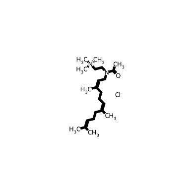 CC(=O)N(CC=C(C)CCC=C(C)CCC=C(C)C)CC[N+](C)(C)C.[Cl-]